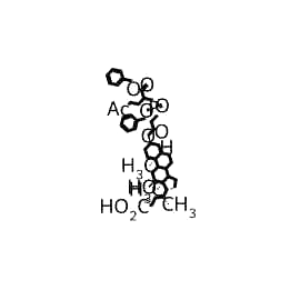 CC(=O)CCC(CP(=O)(CCC(=O)O[C@@H]1CC[C@]2(C)C3C[C@H](O)[C@@]4(C)C(CC[C@@H]4[C@H](C)CCC(=O)O)C3CC[C@@H]2C1)OCc1ccccc1)C(=O)OCc1ccccc1